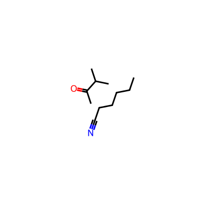 CC(=O)C(C)C.CCCCCC#N